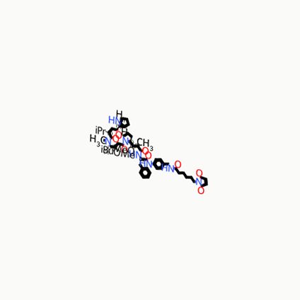 CC[C@H](C)[C@@H]([C@@H](CC(=O)N1CCC[C@H]1[C@H](OC)[C@@H](C)C(=O)N[C@@H](Cc1ccccc1)C(=O)Nc1ccc(CNC(=O)CCCCCN2C(=O)C=CC2=O)cc1)OC)N(C)C(=O)[C@@H](CC(=O)[C@H]1N[C@@H]2CC[C@H]1C2)C(C)C